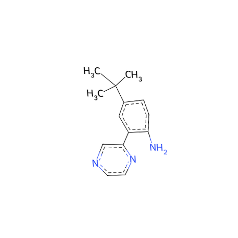 CC(C)(C)c1ccc(N)c(-c2cnccn2)c1